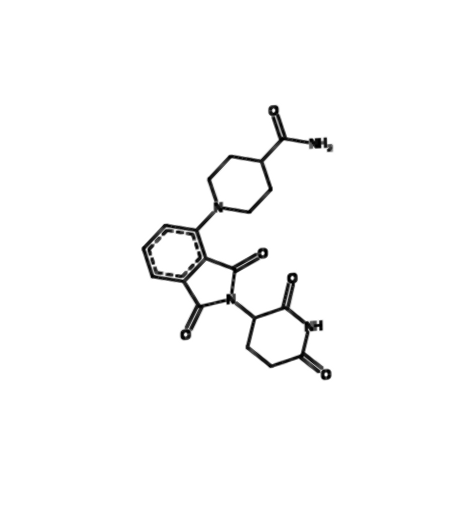 NC(=O)C1CCN(c2cccc3c2C(=O)N(C2CCC(=O)NC2=O)C3=O)CC1